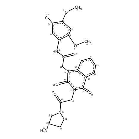 COc1cc(OC)c(NC(=O)Cn2c(=O)n(CC(=O)N3CC[C@H](N)C3)c(=O)c3ccccc32)cc1Cl